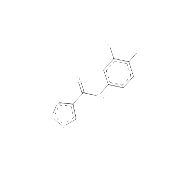 N=C(Nc1ccc(F)c(Br)c1)c1cnon1